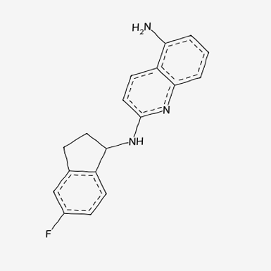 Nc1cccc2nc(NC3CCc4cc(F)ccc43)ccc12